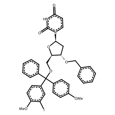 COc1ccc(C(OC[C@H]2O[C@@H](n3ccc(=O)[nH]c3=O)C[C@@H]2OCc2ccccc2)(c2ccccc2)c2ccc(OC)c(I)c2)cc1